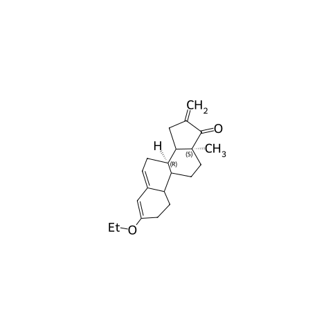 C=C1CC2[C@@H]3CC=C4C=C(OCC)CCC4C3CC[C@]2(C)C1=O